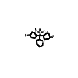 COP(=O)(O)C(c1ccc(F)cc1)(c1ccc(F)cc1)c1ccccn1